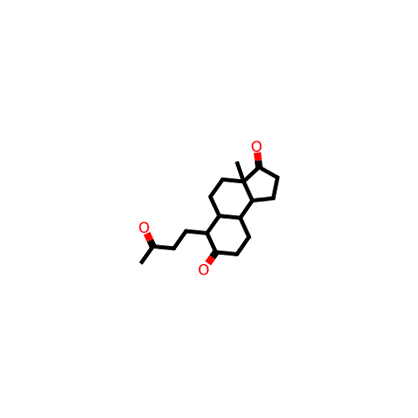 CC(=O)CCC1C(=O)CCC2C1CCC1(C)C(=O)CCC21